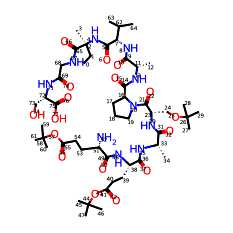 CC[C@](C)(NC(=O)[C@@H](NC(=O)[C@H](C)NC(=O)[C@@H]1CCCN1C(=O)[C@H](COC(C)(C)C)NC(=O)[C@H](C)NC(=O)[C@H](CCC(=O)OC(C)(C)C)NC(=O)[C@@H](N)CCC(=O)OC(C)(C)C)C(C)C)C(=O)NCC(=O)N[C@@H](CO)C(=O)O